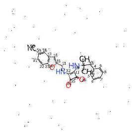 CC(C)(Cc1ccccc1)Nc1c(NCc2cc3cc(C#N)ccc3o2)c(=O)c1=O